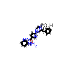 CC(C)(C)[C@@]1(Cc2ccccc2)CN(c2ccc(C(=O)Nc3ccccc3N)cn2)CCN1C(=O)O